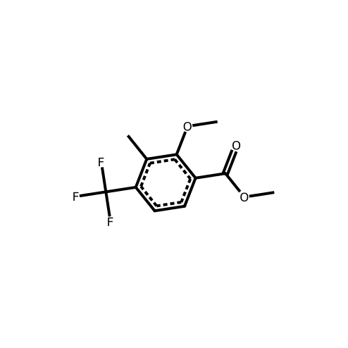 COC(=O)c1ccc(C(F)(F)F)c(C)c1OC